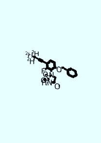 [2H]C([2H])([2H])C#Cc1ccc(OCc2ccccc2)c(N2CC(=O)NS2(=O)=O)c1F